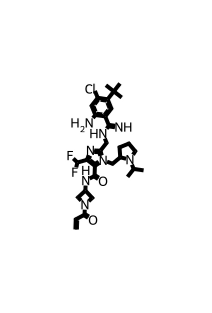 C=CC(=O)N1CC(NC(=O)c2c(C(F)F)nc(CNC(=N)c3cc(C(C)(C)C)c(Cl)cc3N)n2CC2CCCN2C(C)C)C1